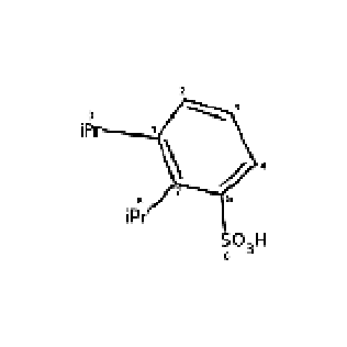 CC(C)c1cccc(S(=O)(=O)O)c1C(C)C